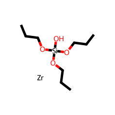 CCCO[Si](O)(OCCC)OCCC.[Zr]